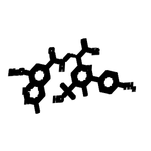 C=C(CC)[C@@H](CNC(=O)c1cc(OC)c2nnc(C)cc2c1)c1cc(C(C)(C)O)c(C)c(-c2ccc(P)cc2)n1